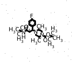 C[C@@H]1CN(C(=O)OC(C)(C)C)[C@@H](C)CN1C(CC(=O)NC(C)(C)C)c1ccc(F)cc1